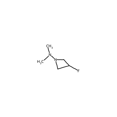 CN(C)N1CC(F)C1